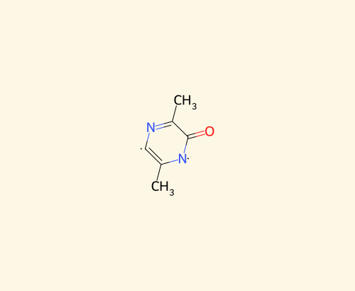 CC1=[C]N=C(C)C(=O)[N]1